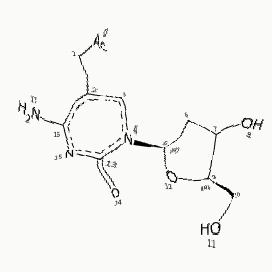 CC(=O)Cc1cn([C@H]2CC(O)[C@@H](CO)O2)c(=O)nc1N